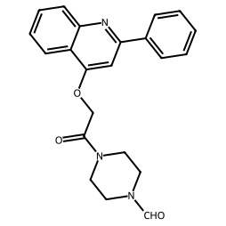 O=CN1CCN(C(=O)COc2cc(-c3ccccc3)nc3ccccc23)CC1